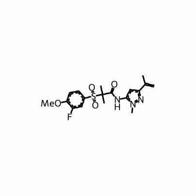 C=C(C)c1cc(NC(=O)C(C)(C)S(=O)(=O)c2ccc(OC)c(F)c2)n(C)n1